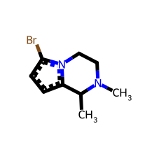 CC1c2ccc(Br)n2CCN1C